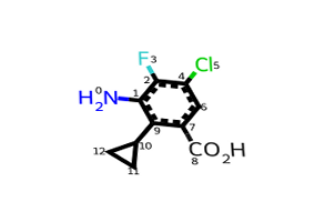 Nc1c(F)c(Cl)cc(C(=O)O)c1C1CC1